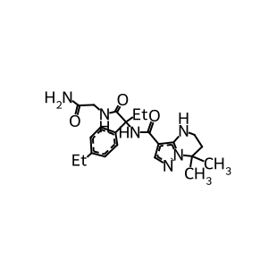 CCc1ccc(C(CC)(NC(=O)c2cnn3c2NCCC3(C)C)C(=O)NCC(N)=O)cc1